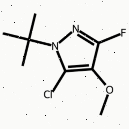 COc1c(F)nn(C(C)(C)C)c1Cl